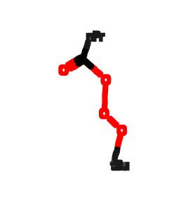 CCCC(=O)OOOC(C)(C)C